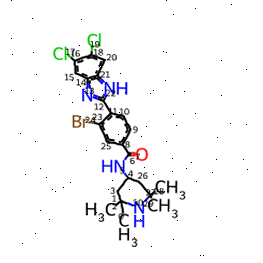 CC1(C)CC(NC(=O)c2ccc(-c3nc4cc(Cl)c(Cl)cc4[nH]3)c(Br)c2)CC(C)(C)N1